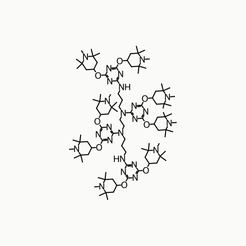 CN1C(C)(C)CC(Oc2nc(NCCCN(CCN(CCCNc3nc(OC4CC(C)(C)N(C)C(C)(C)C4)nc(OC4CC(C)(C)N(C)C(C)(C)C4)n3)c3nc(OC4CC(C)(C)N(C)C(C)(C)C4)nc(OC4CC(C)(C)N(C)C(C)(C)C4)n3)c3nc(OC4CC(C)(C)N(C)C(C)(C)C4)nc(OC4CC(C)(C)N(C)C(C)(C)C4)n3)nc(OC3CC(C)(C)N(C)C(C)(C)C3)n2)CC1(C)C